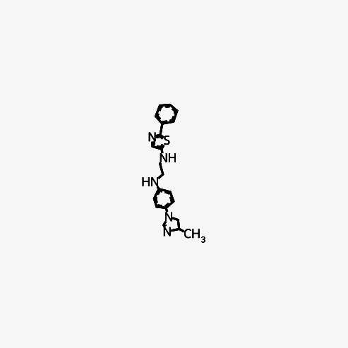 CC1CN(c2ccc(NCCNc3cnc(-c4ccccc4)s3)cc2)C=N1